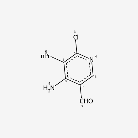 CCCc1c(Cl)ncc(C=O)c1N